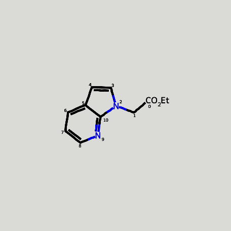 CCOC(=O)Cn1ccc2cccnc21